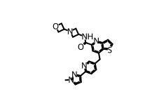 Cn1ccc(-c2ccc(Cc3cc(C(=O)NC4CN(C5COC5)C4)nc4ccsc34)cn2)n1